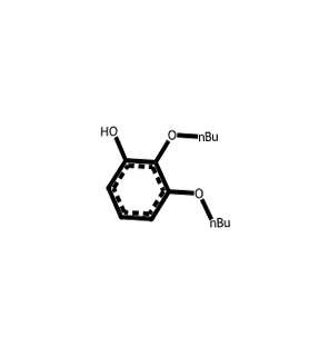 CCCCOc1cccc(O)c1OCCCC